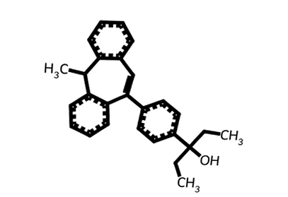 CCC(O)(CC)c1ccc(C2=Cc3ccccc3C(C)c3ccccc32)cc1